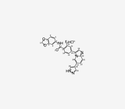 Cl.O=C(Nc1ccc2c(c1)OCO2)c1ccc(-c2cnc3ccc(-c4cn[nH]c4)cn23)cc1F